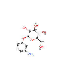 Nc1cccc(O[C@@H]2O[C@H](CO)[C@@H](O)[C@H](O)[C@H]2O)c1